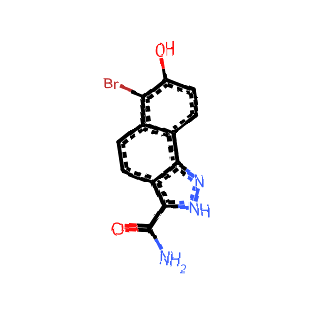 NC(=O)c1[nH]nc2c1ccc1c(Br)c(O)ccc12